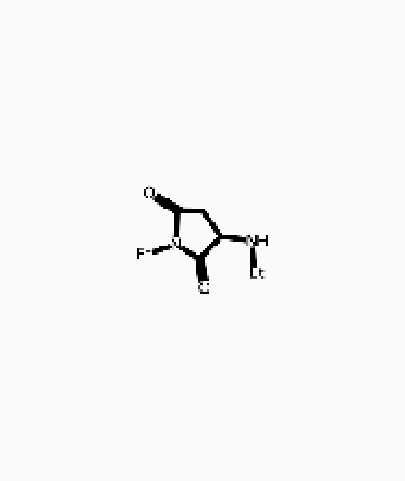 CCNC1CC(=O)N(CC)C1=O